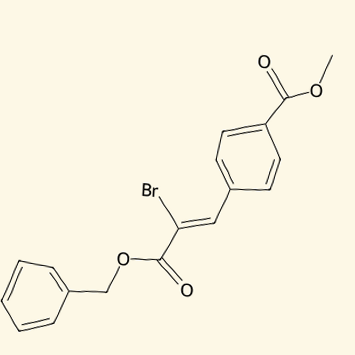 COC(=O)c1ccc(C=C(Br)C(=O)OCc2ccccc2)cc1